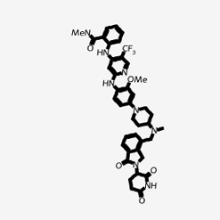 CNC(=O)c1ccccc1Nc1cc(Nc2ccc(N3CCC(N(C)Cc4cccc5c4CN(C4CCC(=O)NC4=O)C5=O)CC3)cc2OC)ncc1C(F)(F)F